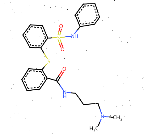 CN(C)CCCNC(=O)c1ccccc1Sc1ccccc1S(=O)(=O)Nc1ccccc1